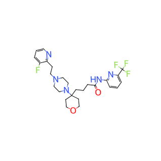 O=C(CCCC1(N2CCN(CCc3ncccc3F)CC2)CCOCC1)Nc1cccc(C(F)(F)F)n1